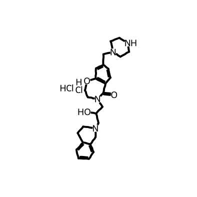 Cl.Cl.O=C1c2ccc(CN3CCNCC3)cc2OCCN1CC(O)CN1CCc2ccccc2C1